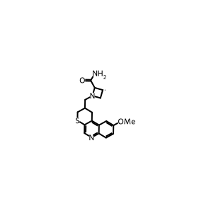 COc1ccc2ncc3c(c2c1)CC(CN1C[CH]C1C(N)=O)CS3